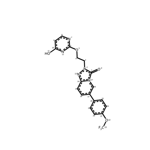 O=c1n(CCOc2nccc(O)n2)nc2ccc(-c3ccc(OC(F)(F)F)cc3)cn12